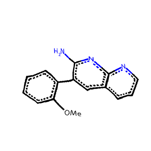 COc1ccccc1-c1cc2cccnc2nc1N